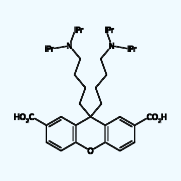 CC(C)N(CCCCC1(CCCCN(C(C)C)C(C)C)c2cc(C(=O)O)ccc2Oc2ccc(C(=O)O)cc21)C(C)C